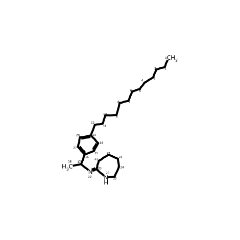 CCCCCCCCCCCCCc1ccc(C(C)N=C2CCCCCN2)cc1